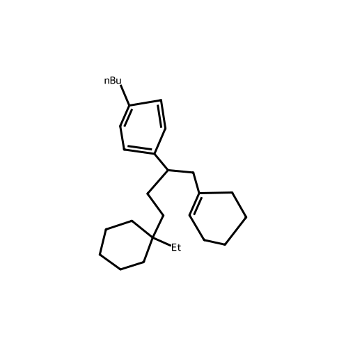 CCCCc1ccc(C(CCC2(CC)CCCCC2)CC2=CCCCC2)cc1